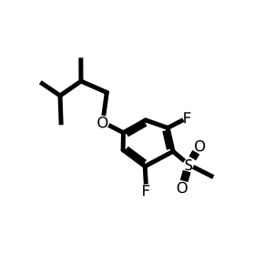 CC(C)C(C)COc1cc(F)c(S(C)(=O)=O)c(F)c1